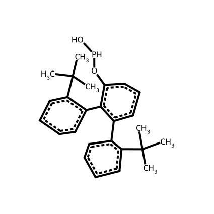 CC(C)(C)c1ccccc1-c1cccc(OPO)c1-c1ccccc1C(C)(C)C